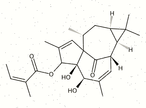 C/C=C(/C)C(=O)OC1C(C)=CC23C(=O)[C@@H](C=C(C)[C@@H](O)[C@]12O)[C@H]1[C@@H](C[C@H]3C)C1(C)C